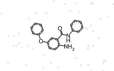 Nc1ccc(Oc2ccccc2)cc1C(=O)Nc1ccccc1